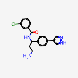 NCCC(NC(=O)c1cccc(Cl)c1)c1ccc(-c2cn[nH]c2)cc1